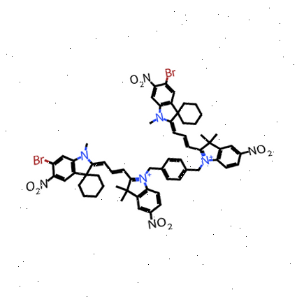 CN1/C(=C/C=C/C2=[N+](Cc3ccc(C[N+]4=C(/C=C/C=C5/N(C)c6cc(Br)c([N+](=O)[O-])cc6C56CCCCC6)C(C)(C)c5cc([N+](=O)[O-])ccc54)cc3)c3ccc([N+](=O)[O-])cc3C2(C)C)C2(CCCCC2)c2cc(Br)c([N+](=O)[O-])cc21